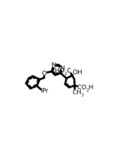 CC(C)c1ccccc1COc1cc(C2C=CC(C)(C(=O)O)CC2(O)C(=O)O)ncn1